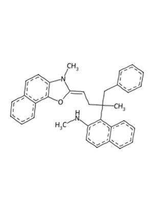 CNc1ccc2ccccc2c1C(C)(C/C=C1\Oc2c(ccc3ccccc23)N1C)Cc1ccccc1